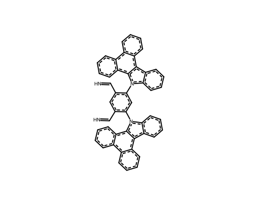 N=Cc1cc(C=N)c(-n2c3ccccc3c3c4ccccc4c4ccccc4c32)cc1-n1c2ccccc2c2c3ccccc3c3ccccc3c21